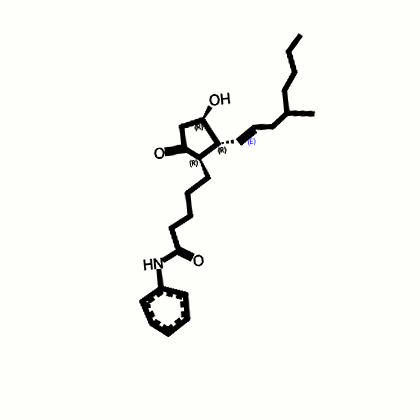 CCCCC(C)C/C=C/[C@H]1[C@H](O)CC(=O)[C@@H]1CCCCC(=O)Nc1ccccc1